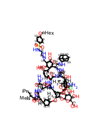 CCCCCCOc1ccc(S(=O)(=O)NCCNCc2c(O)cc3c(c2O)-c2cc(ccc2O)[C@H]2NC(=O)[C@@H]4NC(=O)[C@H](CC(N)=O)NC(=O)[C@H](NC(=O)[C@@H](CC(C)C)NC)[C@H](O)c5ccc(c(C)c5)Oc5cc4cc(c5O[C@@H]4O[C@H](CO)[C@@H](O)[C@H](O)[C@H]4O[C@H]4C[C@H](N)[C@H](C)[C@H](C)O4)Oc4ccc(cc4Cl)[C@@H](O)[C@H](NC2=O)C(=O)N[C@@H]3C(=O)NC2C3CC4CC(C3)CC2C4)cc1